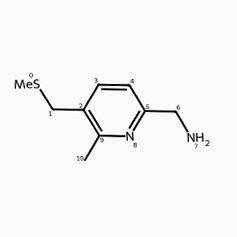 CSCc1ccc(CN)nc1C